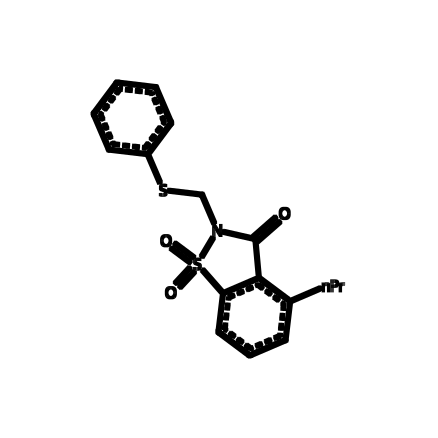 CCCc1cccc2c1C(=O)N(CSc1ccccc1)S2(=O)=O